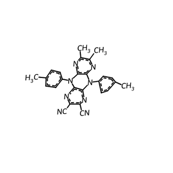 Cc1ccc(N2c3nc(C)c(C)nc3N(c3ccc(C)cc3)c3nc(C#N)c(C#N)nc32)cc1